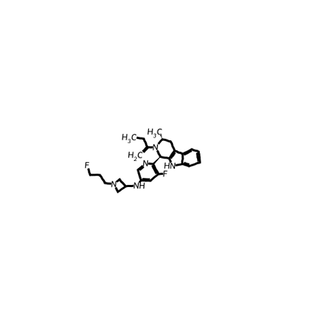 C=C(CC)N1[C@H](c2ncc(NC3CN(CCCF)C3)cc2F)c2[nH]c3ccccc3c2C[C@H]1C